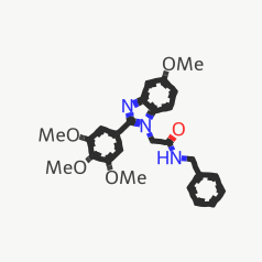 COc1ccc2c(c1)nc(-c1cc(OC)c(OC)c(OC)c1)n2CC(=O)NCc1ccccc1